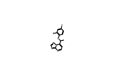 CC(Oc1ccc(F)cc1F)c1ccnc2ncnn12